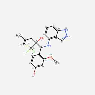 C=C(C)CC(O)(C(Nc1cccc2[nH]ncc12)c1ccc(Br)cc1OC)C(F)(F)F